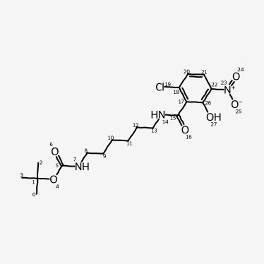 CC(C)(C)OC(=O)NCCCCCCNC(=O)c1c(Cl)ccc([N+](=O)[O-])c1O